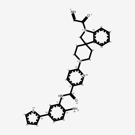 N=CC(=O)N1CC2(CCN(c3ccc(C(=O)Nc4cc(-c5cccs5)ccc4N)cn3)CC2)c2ccccc21